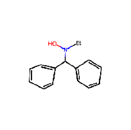 CCN(O)C(c1ccccc1)c1ccccc1